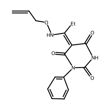 C=CCONC(CC)=C1C(=O)NC(=O)N(c2ccccc2)C1=O